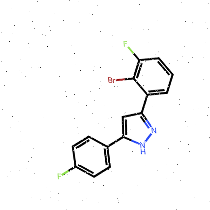 Fc1ccc(-c2cc(-c3cccc(F)c3Br)n[nH]2)cc1